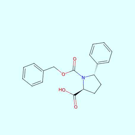 O=C(O)[C@@H]1CC[C@@H](c2ccccc2)N1C(=O)OCc1ccccc1